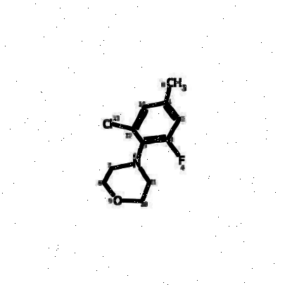 Cc1cc(F)c(N2CCOCC2)c(Cl)c1